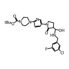 CC(C)(C)OC(=O)N1CCN(c2ccc(N3CCC(C(O)NCc4cc(F)cc(Cl)c4)C3=O)cn2)CC1